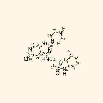 Cc1cccc(NS(=O)(=O)CCNc2nc(N3CCN(C)CC3)nc3cnc(Cl)cc23)c1